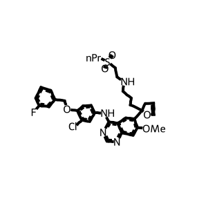 CCCS(=O)(=O)CCNCCCC1(c2cc3c(Nc4ccc(OCc5cccc(F)c5)c(Cl)c4)ncnc3cc2OC)CC=CO1